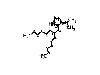 CCCCCCC(CCCCCC)Cc1[nH]cnc1N(C)C